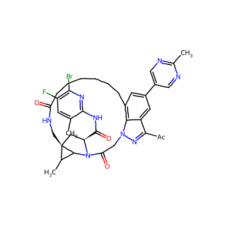 CC(=O)c1nn2c3c(cc(-c4cnc(C)nc4)cc13)CCCCCCC(=O)NC[C@@]13C[C@@H](C(=O)Nc4nc(Br)c(F)cc4C)N(C(=O)C2)C1C3C